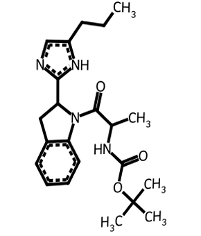 CCCc1cnc(C2Cc3ccccc3N2C(=O)C(C)NC(=O)OC(C)(C)C)[nH]1